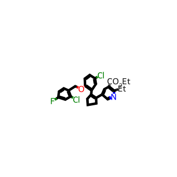 CCOC(=O)c1cc(C2=C(c3cc(Cl)ccc3OCc3ccc(F)cc3Cl)CCC2)cnc1CC